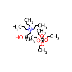 CCC[N+](CCC)(CCC)CCC.CCO[Si](OCC)(OCC)OCC.[OH-]